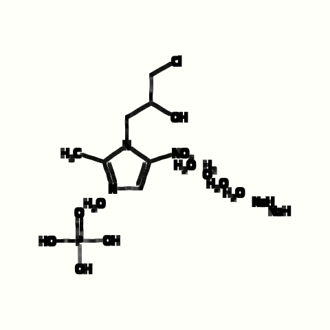 Cc1ncc([N+](=O)[O-])n1CC(O)CCl.O.O.O.O.O.O=P(O)(O)O.[NaH].[NaH]